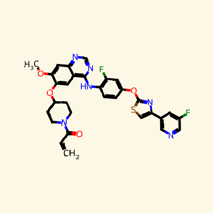 C=CC(=O)N1CCC(Oc2cc3c(Nc4ccc(Oc5nc(-c6cncc(F)c6)cs5)cc4F)ncnc3cc2OC)CC1